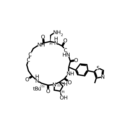 Cc1ncsc1-c1ccc(C2NC(=O)[C@@H]3C[C@@H](O)CN3C(=O)[C@H](C(C)(C)C)NC(=O)CCCCCNC(=O)[C@@H](CN)NC(=O)CNC2=O)cc1